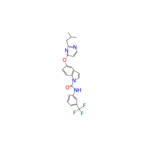 CC(C)Cc1nccc(Oc2ccc3c(ccn3C(=O)Nc3cccc(C(F)(F)F)c3)c2)n1